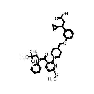 COc1ccc(C(=O)N(CC(C)(C)C)c2ccccn2)c(N2CCC(COc3cccc(C(CC(=O)O)C4CC4)c3)CC2)n1